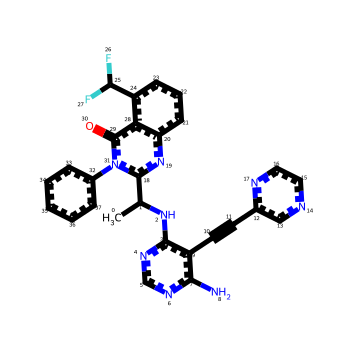 CC(Nc1ncnc(N)c1C#Cc1cnccn1)c1nc2cccc(C(F)F)c2c(=O)n1-c1ccccc1